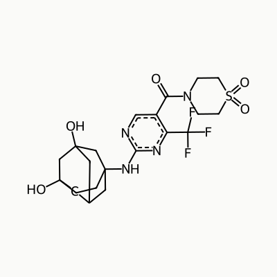 O=C(c1cnc(NC23CCC4(O)CC(CC(O)(C4)C2)C3)nc1C(F)(F)F)N1CCS(=O)(=O)CC1